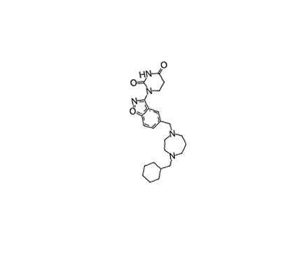 O=C1CCN(c2noc3ccc(CN4CCCN(CC5CCCCC5)CC4)cc23)C(=O)N1